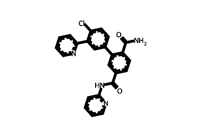 NC(=O)c1ccc(C(=O)Nc2ccccn2)cc1-c1ccc(Cl)c(-c2ccccn2)c1